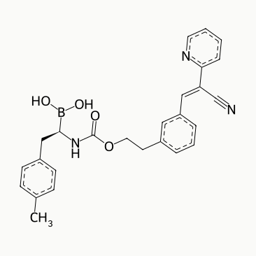 Cc1ccc(C[C@H](NC(=O)OCCc2cccc(C=C(C#N)c3ccccn3)c2)B(O)O)cc1